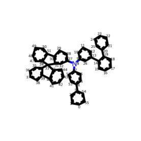 c1ccc(-c2ccc(N(c3cccc(-c4ccccc4-c4ccccc4)c3)c3ccc4c(c3)C3(c5ccccc5-c5ccccc53)c3ccccc3-4)cc2)cc1